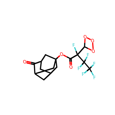 O=C1C2CC3CC1CC(OC(=O)C(F)(C1OOO1)C(F)(F)C(F)(F)F)(C3)C2